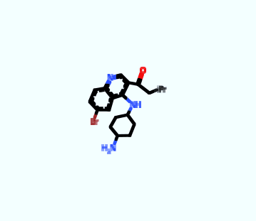 CC(C)CC(=O)c1cnc2ccc(Br)cc2c1NC1CCC(N)CC1